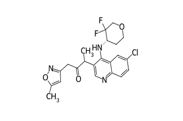 Cc1cc(CC(=O)C(C)c2cnc3ccc(Cl)cc3c2N[C@H]2CCOCC2(F)F)no1